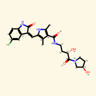 Cc1[nH]c(/C=C2\C(=O)Nc3ccc(F)cc32)c(C)c1C(=O)NCC[C@H](O)C(=O)N1CC[C@@H](O)C1